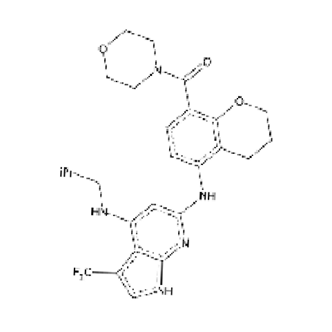 CC(C)CNc1cc(Nc2ccc(C(=O)N3CCOCC3)c3c2CCCO3)nc2[nH]cc(C(F)(F)F)c12